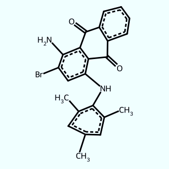 Cc1cc(C)c(Nc2cc(Br)c(N)c3c2C(=O)c2ccccc2C3=O)c(C)c1